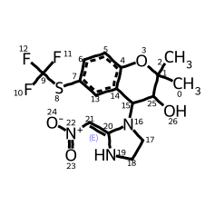 CC1(C)Oc2ccc(SC(F)(F)F)cc2C(N2CCN/C2=C\[N+](=O)[O-])C1O